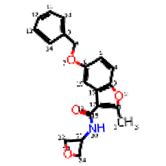 Cc1oc2ccc(OCc3ccccc3)cc2c1C(=O)NC1COC1